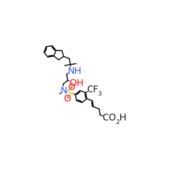 CN(CC(O)CNC(C)(C)CC1Cc2ccccc2C1)S(=O)(=O)c1ccc(C=CCCC(=O)O)c(C(F)(F)F)c1